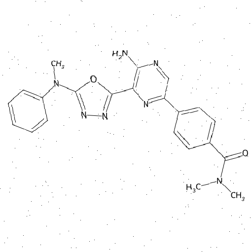 CN(C)C(=O)c1ccc(-c2cnc(N)c(-c3nnc(N(C)c4ccccc4)o3)n2)cc1